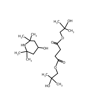 CC(C)(O)COC(=O)CCC(=O)OCC(C)(C)O.CC1(C)CC(O)CC(C)(C)N1